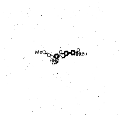 COCCOCOc1ccc(N2CCc3cc(-c4ccc(C(=O)NC(C)(C)C)cc4)ccc3C2=O)cc1NS(C)(=O)=O